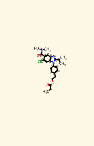 CCC(=O)OCCc1ccc(-n2c(C(C)C)nc3cc(C(=O)N(C)C)c(Cl)cc32)cc1